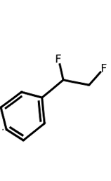 FCC(F)c1cc[c]cc1